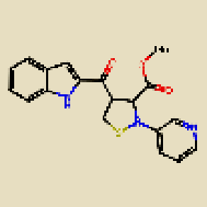 CC(C)(C)OC(=O)C1C(C(=O)c2cc3ccccc3[nH]2)CSN1c1cccnc1